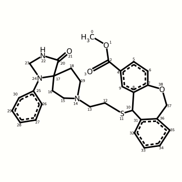 COC(=O)c1ccc2c(c1)C(SCCN1CCC3(CC1)C(=O)NCN3c1ccccc1)c1ccccc1CO2